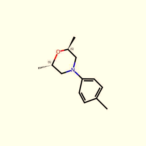 Cc1ccc(N2C[C@H](C)O[C@@H](C)C2)cc1